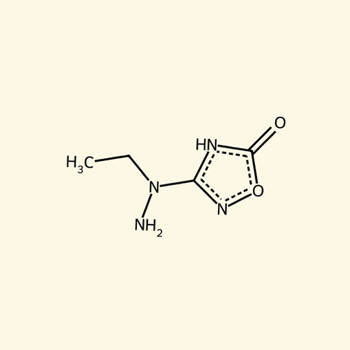 CCN(N)c1noc(=O)[nH]1